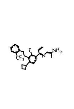 C=C/C(=N\C=C(/C)N)c1ccc(C2CCC2)c(CCc2ccccc2C(F)(F)F)c1F